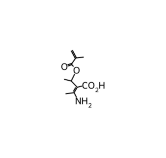 C=C(C)C(=O)OC(C)C(C(=O)O)=C(C)N